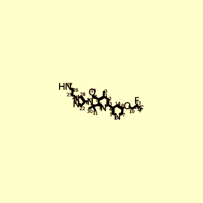 Cc1cc(-c2cncc(OCC(F)F)c2)nc2c1C(=O)N(c1cnn(CC=N)c1)C2(C)C